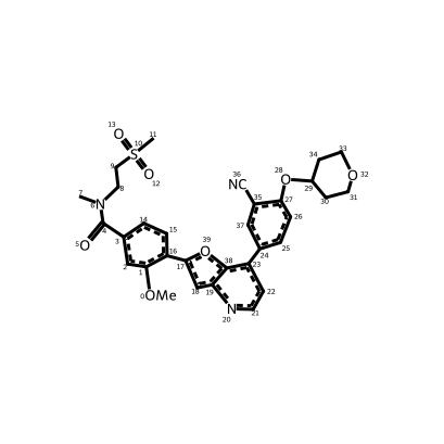 COc1cc(C(=O)N(C)CCS(C)(=O)=O)ccc1-c1cc2nccc(-c3ccc(OC4CCOCC4)c(C#N)c3)c2o1